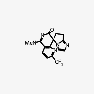 CNC1=NC(=O)[C@@]2(CCc3nccn32)c2nc(C(F)(F)F)ccc21